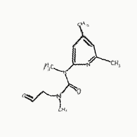 Cc1cc(C)nc(N(C)C(=O)N(C)CC=O)c1